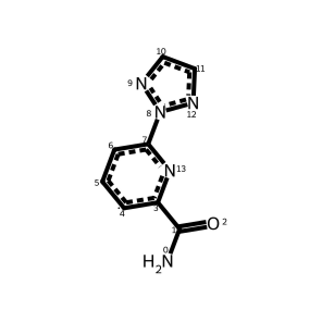 NC(=O)c1[c]ccc(-n2nccn2)n1